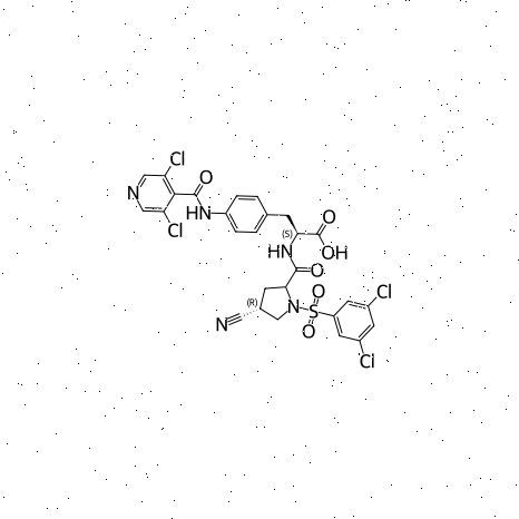 N#C[C@@H]1CC(C(=O)N[C@@H](Cc2ccc(NC(=O)c3c(Cl)cncc3Cl)cc2)C(=O)O)N(S(=O)(=O)c2cc(Cl)cc(Cl)c2)C1